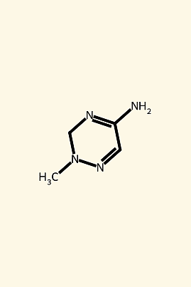 CN1CN=C(N)C=N1